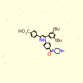 CN1CCN(C(=O)c2ccc(-n3nc(-c4ccc(C(=O)O)cc4)cc3-c3cc(C(C)(C)C)cc(C(C)(C)C)c3)cc2)CC1